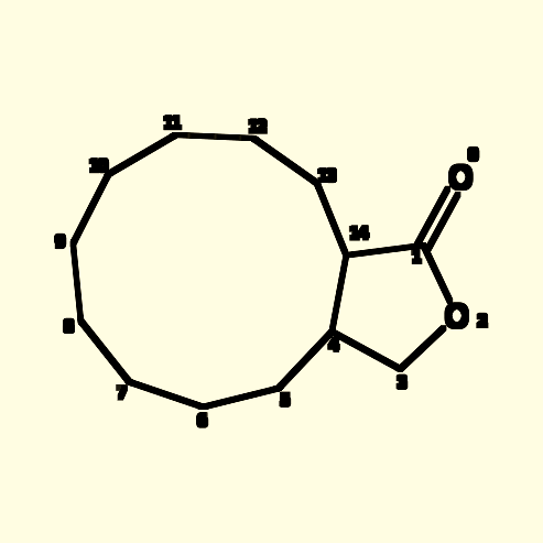 O=C1OCC2CCCCCCCCCC12